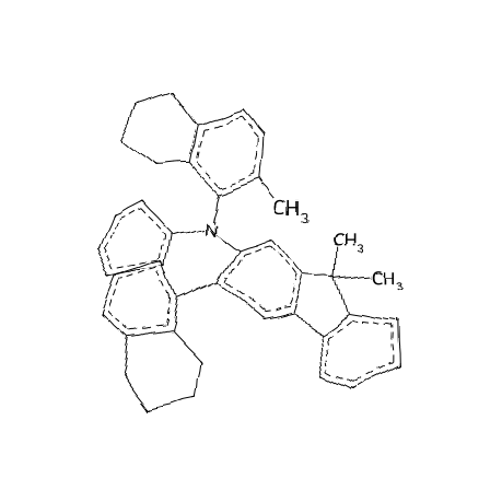 Cc1ccc2c(c1N(c1ccccc1)c1cc3c(cc1-c1cccc4c1CCCC4)-c1ccccc1C3(C)C)CCCC2